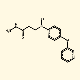 CC(C)N(CCC(=O)NN)c1ccc(Nc2ccccc2)cc1